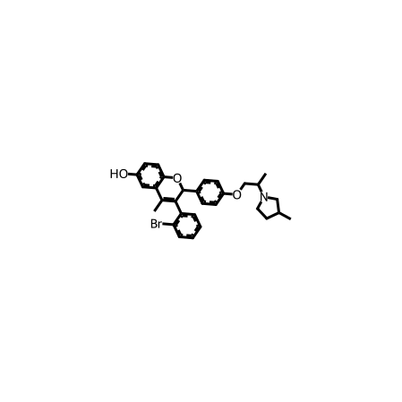 CC1=C(c2ccccc2Br)C(c2ccc(OCC(C)N3CCC(C)C3)cc2)Oc2ccc(O)cc21